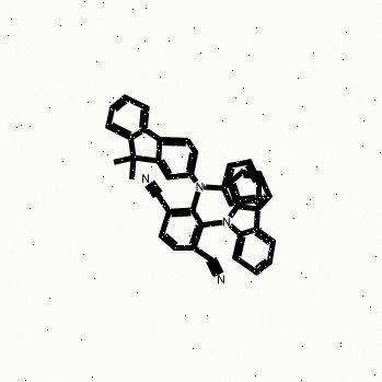 CC1(C)c2ccccc2-c2ccc(N(c3ccccc3)c3c(C#N)ccc(C#N)c3-n3c4ccccc4c4ccccc43)cc21